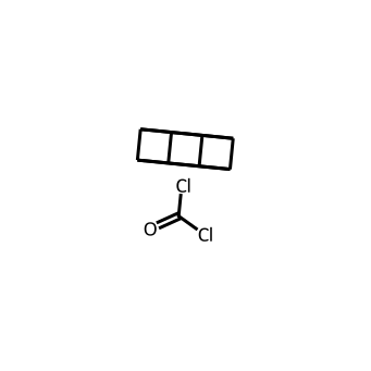 C12C3C4C1C1C2C3C41.O=C(Cl)Cl